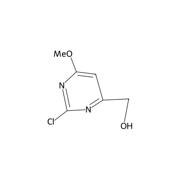 COc1cc(CO)nc(Cl)n1